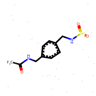 O=C(NCc1ccc(CN[SH](=O)=O)cc1)C(F)(F)F